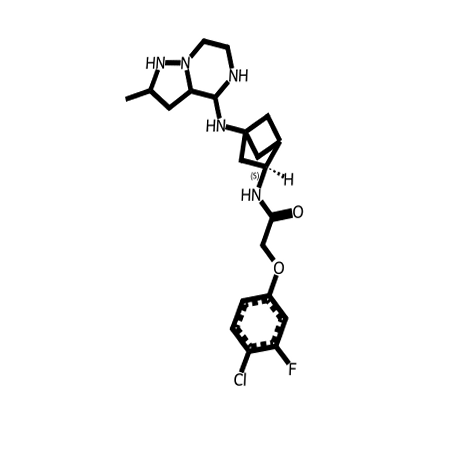 CC1CC2C(NC34CC(C3)[C@@H](NC(=O)COc3ccc(Cl)c(F)c3)C4)NCCN2N1